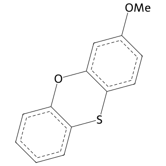 COc1ccc2c(c1)Oc1ccccc1S2